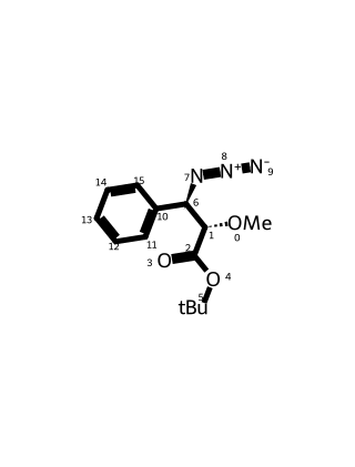 CO[C@H](C(=O)OC(C)(C)C)[C@H](N=[N+]=[N-])c1ccccc1